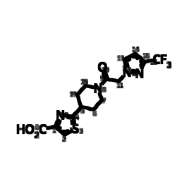 O=C(O)c1csc(C2CCN(C(=O)Cn3ccc(C(F)(F)F)n3)CC2)n1